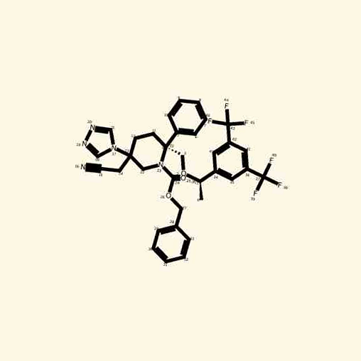 C[C@@H](OC[C@@]1(c2ccccc2)CCC(CC#N)(n2cnnc2)CN1C(=O)OCc1ccccc1)c1cc(C(F)(F)F)cc(C(F)(F)F)c1